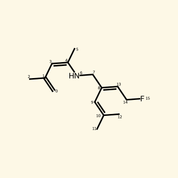 C=C(C)/C=C(/C)NC/C(C=C(C)C)=C/CF